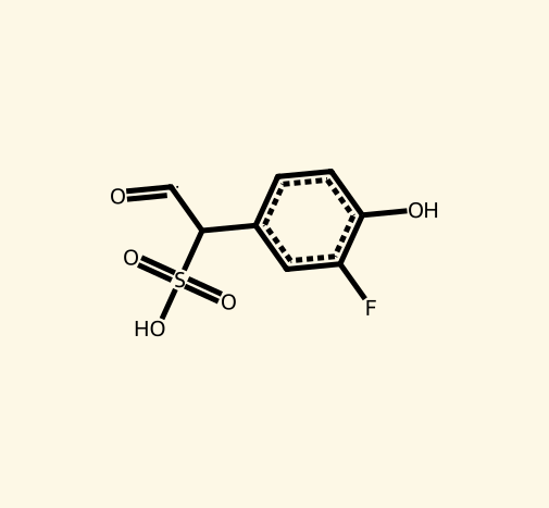 O=[C]C(c1ccc(O)c(F)c1)S(=O)(=O)O